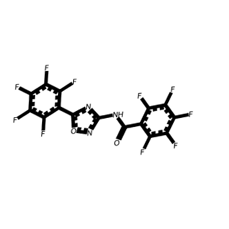 O=C(Nc1noc(-c2c(F)c(F)c(F)c(F)c2F)n1)c1c(F)c(F)c(F)c(F)c1F